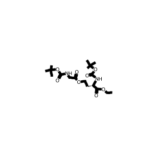 CCOC(=O)[C@H](CCOC(=O)CNC(=O)OC(C)(C)C)NC(=O)OC(C)(C)C